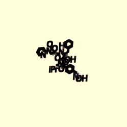 CC(C)CN(C[C@@H](O)[C@H](CC1=CCCC=C1)NC(=O)[C@@H]1CN(c2ccccn2)C(=O)O1)S(=O)(=O)c1ccc(/C=N/O)cc1